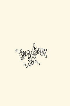 Cn1nc(N)c2cccc(-c3ccc(C#CC(C)(C)O)nc3C(Cc3cc(F)cc(F)c3)NC(=O)Cn3nc(C(F)(F)F)c4c3C(F)(F)CC4)c21